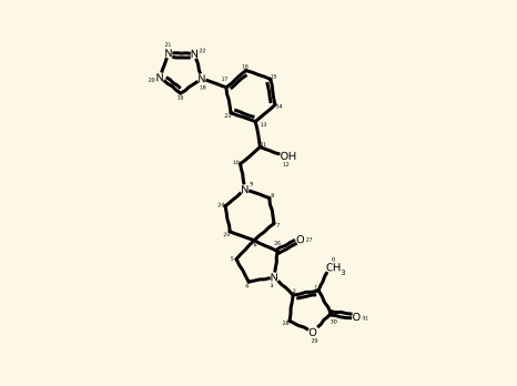 CC1=C(N2CCC3(CCN(CC(O)c4cccc(-n5cnnn5)c4)CC3)C2=O)COC1=O